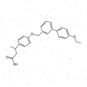 CCOc1ccc(-c2cccc(COc3ccc(C(C)CC(=O)O)cc3)c2)cc1